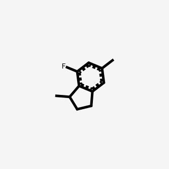 Cc1cc(F)c2c(c1)CCC2C